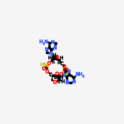 Nc1ncnc2c1ncn2[C@@H]1O[C@@H]2CO[P@@](=O)(S)O[C@H]3[C@H]4OC[C@]3(CO[P@@](=O)(S)O[C@@H]1[C@@H]2F)O[C@H]4n1cnc2c(N)ncnc21